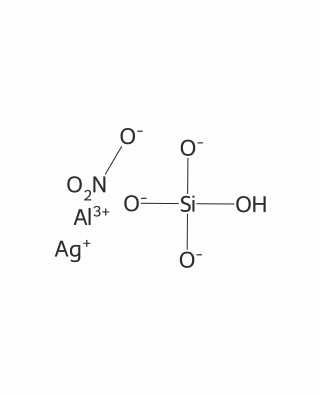 O=[N+]([O-])[O-].[Ag+].[Al+3].[O-][Si]([O-])([O-])O